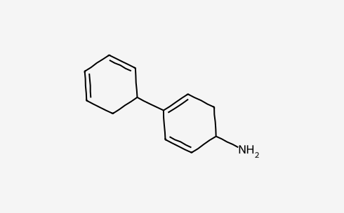 NC1C=CC(C2C=CC=CC2)=CC1